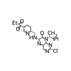 CCS(=O)(=O)c1ccc(CNc2nc3cnc(Cl)nc3n([C@@H](C)C(C)C)c2=O)nc1